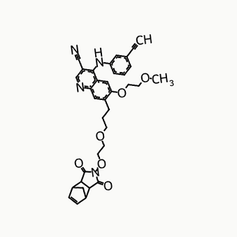 C#Cc1cccc(Nc2c(C#N)cnc3cc(CCCOCCON4C(=O)C5C6C=CC(C6)C5C4=O)c(OCCOC)cc23)c1